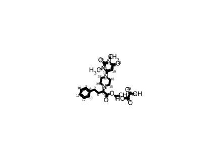 CCOC(=O)C(CCc1ccccc1)N1CCN(c2cc(=O)n(C)c(=O)n2C)CC1.O=C(O)C(=O)O